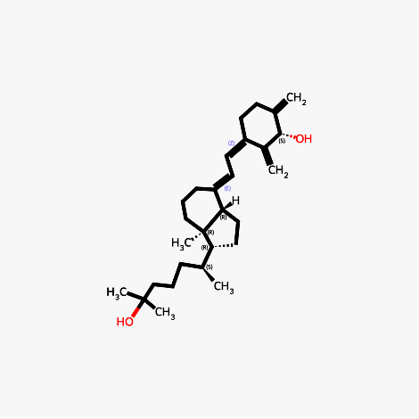 C=C1CC/C(=C/C=C2\CCC[C@]3(C)[C@@H]([C@@H](C)CCCC(C)(C)O)CC[C@@H]23)C(=C)[C@H]1O